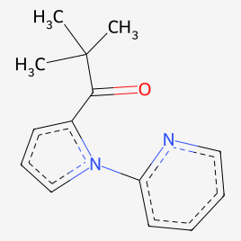 CC(C)(C)C(=O)c1cccn1-c1ccccn1